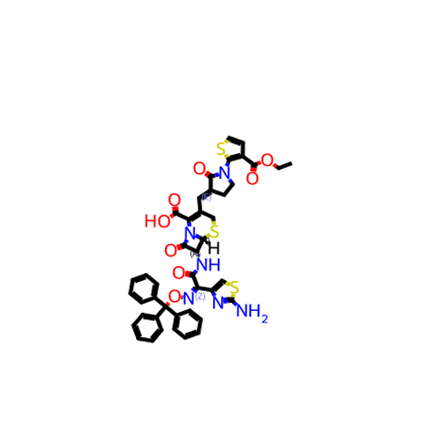 CCOC(=O)c1ccsc1N1CC/C(=C\C2=C(C(=O)O)N3C(=O)[C@@H](NC(=O)/C(=N\OC(c4ccccc4)(c4ccccc4)c4ccccc4)c4csc(N)n4)[C@H]3SC2)C1=O